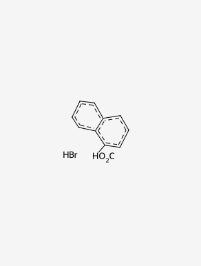 Br.O=C(O)c1cccc2ccccc12